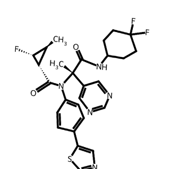 C[C@@H]1[C@@H](F)[C@H]1C(=O)N(c1ccc(-c2cncs2)cc1)[C@](C)(C(=O)NC1CCC(F)(F)CC1)c1cncnc1